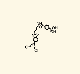 Cn1c(CCCC(N)OCc2ccc(B(O)O)cc2)nc2cc(N(CCCl)CCCl)ccc21